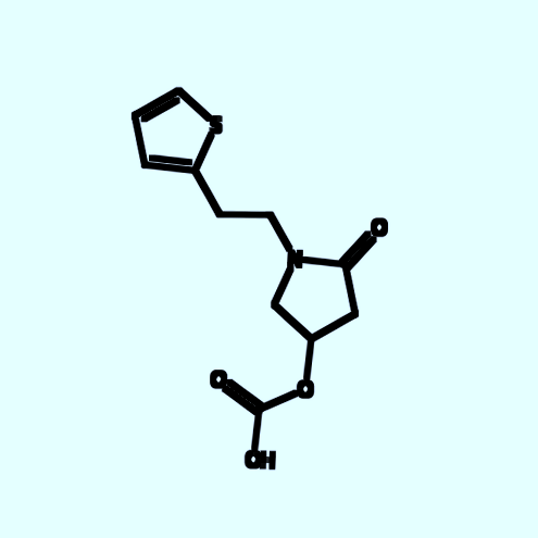 O=C(O)OC1CC(=O)N(CCc2cccs2)C1